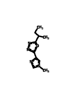 CCC(C)c1nnc(-c2cn(C)cn2)o1